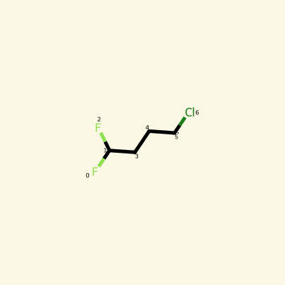 FC(F)CC[CH]Cl